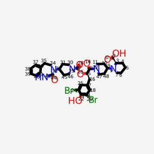 O=C(O)[C@H]1CCCCN1C1CCN(C(=O)[C@@H](Cc2cc(Br)c(O)c(Br)c2)OC(=O)N2CCC(N3CCc4ccccc4NC3=O)CC2)CC1